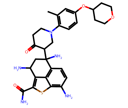 Cc1cc(OC2CCOCC2)ccc1N1CCC(=O)C(C2(N)CC(N)c3c(C(N)=O)sc4c(N)ccc2c34)C1